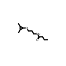 CCCC(=O)NCCCOC1C(C)C1C